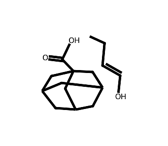 CCC=CO.O=C(O)C12CC3CC(CC(C3)C1)C2